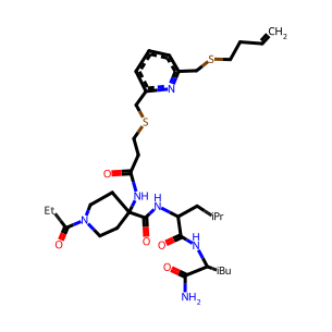 C=CCCSCc1cccc(CSCCC(=O)NC2(C(=O)NC(CC(C)C)C(=O)NC(C(N)=O)C(C)CC)CCN(C(=O)CC)CC2)n1